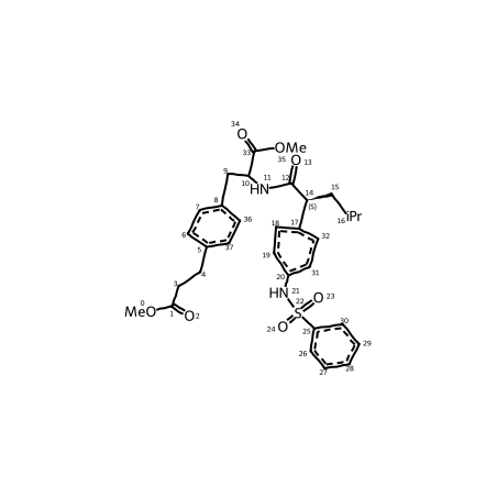 COC(=O)CCc1ccc(CC(NC(=O)[C@@H](CC(C)C)c2ccc(NS(=O)(=O)c3ccccc3)cc2)C(=O)OC)cc1